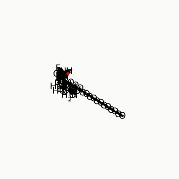 COCCOCCOCCOCCOCCOCCOCCOCCOCCOCCOCCOCCC(=O)NC[C@H](NC(=O)[C@H](CN)N1C(=O)C=CC1=O)C(=O)NCCC(=O)NCc1cc(COC(=O)N(CCOC)Cn2nc3c4c(cc(F)cc4c2=O)N[C@H](c2ccc(F)cc2)[C@H]3c2ncnn2C)ccc1O[C@@H]1O[C@H](C(=O)O)[C@@H](O)[C@H](O)[C@H]1O